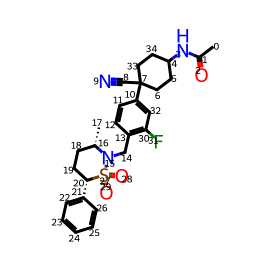 CC(=O)NC1CCC(C#N)(c2ccc(CN3[C@@H](C)CC[C@@H](c4ccccc4)S3(=O)=O)c(F)c2)CC1